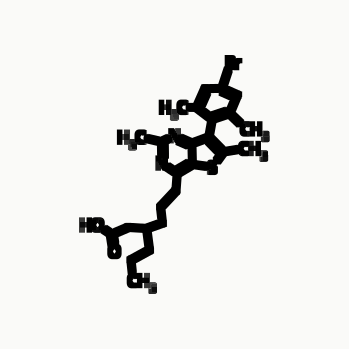 CCCC(CCCc1nc(C)nc2c(-c3c(C)cc(Br)cc3C)c(C)sc12)CC(=O)O